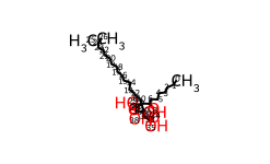 CCCCCCCC(=O)C(CCCCCCCCCCCCCCC(C)C)(C(=O)O)C(O)(CC(=O)O)C(=O)O